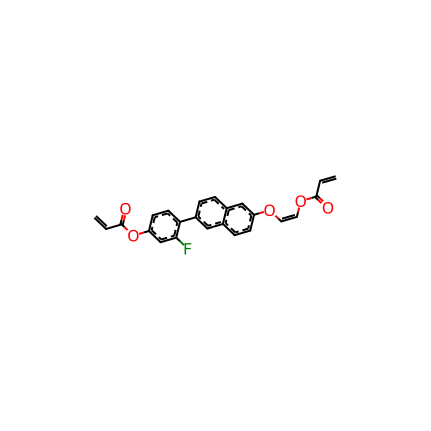 C=CC(=O)O/C=C\Oc1ccc2cc(-c3ccc(OC(=O)C=C)cc3F)ccc2c1